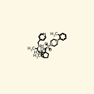 Cc1ccccc1N1CCN(S(=O)(=O)CC23CCC(CC2(O)CC(C)NCc2ccncc2)C3(C)C)CC1